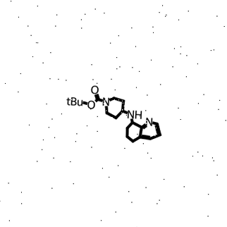 CC(C)(C)OC(=O)N1CCC(NC2CCCc3cccnc32)CC1